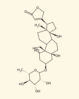 C[C@@H]1OC(O[C@H]2C[C@@H](O)[C@]3(CO)C4CC[C@]5(C)[C@@H](C6=CC(=O)OC6)CC[C@]5(O)C4CC[C@]3(O)C2)[C@H](O)[C@H](O)[C@H]1O